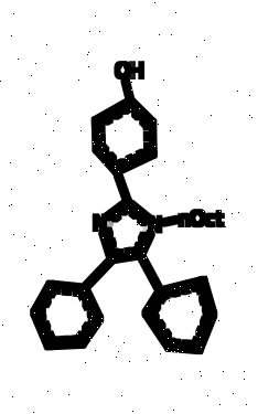 CCCCCCCCn1c(-c2ccc(O)cc2)nc(-c2ccccc2)c1-c1ccccc1